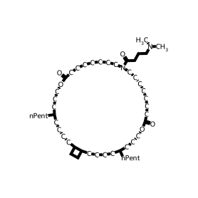 CCCCCC1CCCCC2CCC2CCCCC(CCCCC)CCCOC(=O)CCCCCCCN(C(=O)CCCN(C)C)CCCCCCCC(=O)OCCC1